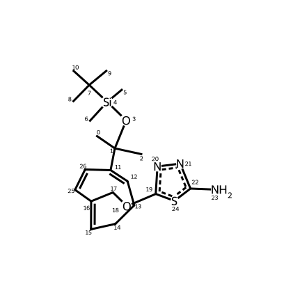 CC(C)(O[Si](C)(C)C(C)(C)C)C1=C/CC/C=C(COc2nnc(N)s2)/C=C\1